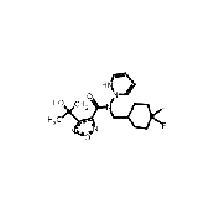 CC(C)(O)c1nonc1C(=O)N(CC1CCC(F)(F)CC1)N1C=CC=CN1